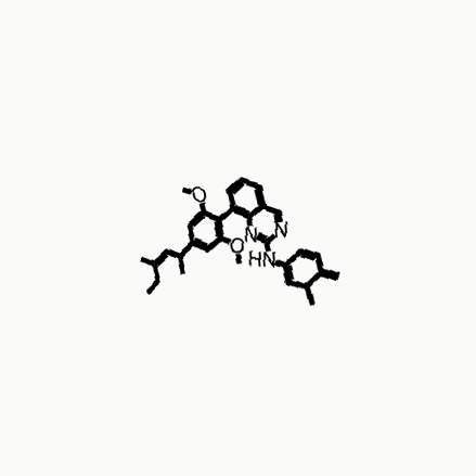 C=C1C=CC(Nc2ncc3cccc(-c4c(OC)cc(C(C)/C=C(/C)CC)cc4OC)c3n2)=CC1C